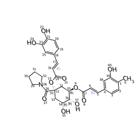 Cc1ccc(/C=C/C(=O)O[C@@H]2C[C@](OC(=O)/C=C/c3ccc(O)c(O)c3)(C(=O)N3CCCC3)C[C@@H](O)[C@H]2O)cc1O